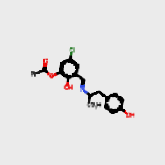 CC(C)C(=O)Oc1cc(Cl)cc(C=NC(Cc2ccc(O)cc2)C(=O)O)c1O